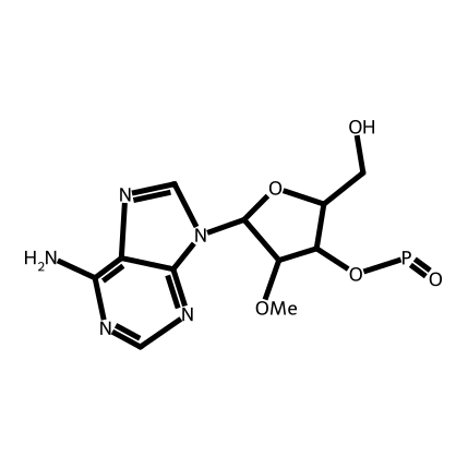 COC1C(OP=O)C(CO)OC1n1cnc2c(N)ncnc21